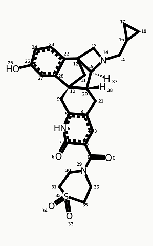 O=C(c1cc2c([nH]c1=O)C[C@@]13CC4(CN(CC5CC5)[C@H]4[C@@H]1C2)c1ccc(O)cc13)N1CCS(=O)(=O)CC1